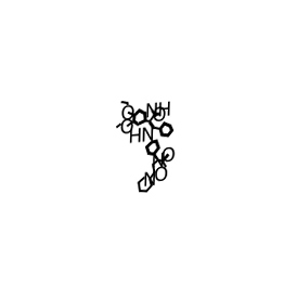 CCOc1cc2c(cc1OCC)C(=C(Nc1ccc(N(CC(=O)N3CCCCC3)C(C)=O)cc1)c1ccccc1)C(=O)N2